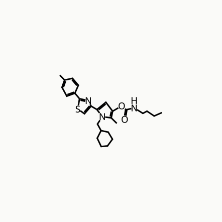 CCCCNC(=O)Oc1cc(-c2csc(-c3ccc(C)cc3)n2)n(CC2CCCCC2)c1C